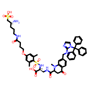 Cc1cc(OCCCC(=O)NCCC[C@@H](N)CS(=O)(=O)O)cc(C)c1S(=O)(=O)N[C@@H](CNC(=O)C1CC(=O)c2ccc(CNc3nccn3C(c3ccccc3)(c3ccccc3)c3ccccc3)cc2N1C)C(=O)O